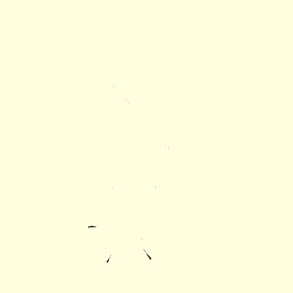 [CH2][C@@H]1C[C@@H](Nc2ncncc2C(=O)c2ccn(Cc3ccc(F)c(Cl)c3)n2)[C@H](O)[C@@H]1O